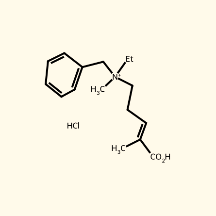 CC[N+](C)(CCC=C(C)C(=O)O)Cc1ccccc1.Cl